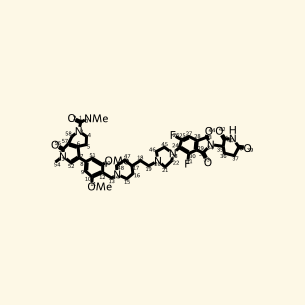 CNC(=O)N1CCc2c(-c3cc(OC)c(CN4CCC(CCN5CCN(c6c(F)cc7c(c6F)C(=O)N(C6CCC(=O)NC6=O)C7=O)CC5)CC4)c(OC)c3)cn(C)c(=O)c2C1